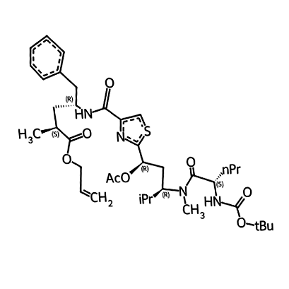 C=CCOC(=O)[C@@H](C)C[C@H](Cc1ccccc1)NC(=O)c1csc([C@@H](C[C@H](C(C)C)N(C)C(=O)[C@H](CCC)NC(=O)OC(C)(C)C)OC(C)=O)n1